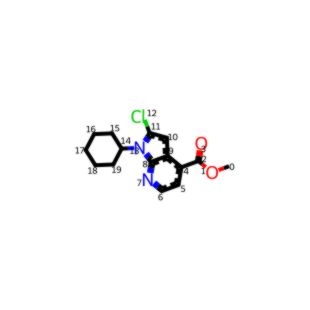 COC(=O)c1ccnc2c1cc(Cl)n2C1CCCCC1